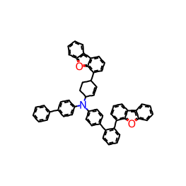 C1=CC(N(c2ccc(-c3ccccc3)cc2)c2ccc(-c3ccccc3-c3cccc4c3oc3ccccc34)cc2)CCC1c1cccc2c1oc1ccccc12